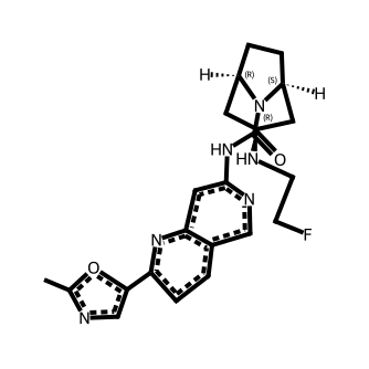 Cc1ncc(-c2ccc3cnc(NC(=O)N4[C@@H]5CC[C@H]4C[C@@H](NCCF)C5)cc3n2)o1